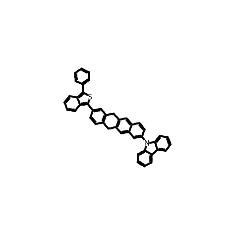 c1ccc(-c2sc(-c3ccc4c(c3)Cc3cc5ccc(-n6c7ccccc7c7ccccc76)cc5cc3C4)c3ccccc23)cc1